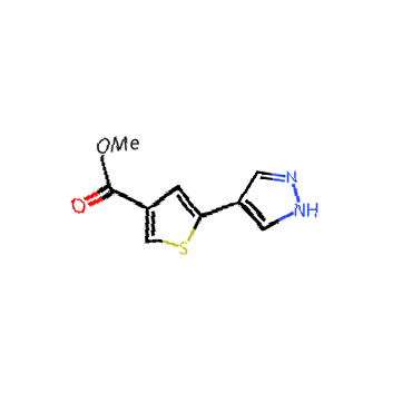 COC(=O)c1csc(-c2cn[nH]c2)c1